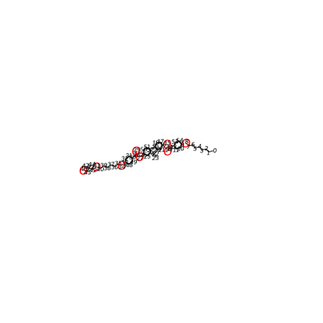 CCCCCCCCOc1ccc(C(=O)Oc2ccc3c(c2)C(C)c2cc(OC(=O)c4ccc(OCCCCCCOCC5(C)COC5)cc4)ccc2-3)cc1